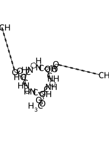 C#CC#CC#CC#CC#CC#CC#CC#COC(=O)Cc1cc2c(O)c(c1)CNC1CCCCC1NCc1cc(CC(=O)OC#CC#CC#CC#CC#CC#CC#CC#C)cc(c1O)CNC1CCCCC1NCc1cc(CC(=O)OC)cc(c1O)CNC1CCCCC1NC2